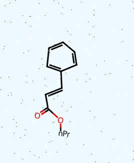 [CH2]CCOC(=O)C=Cc1ccccc1